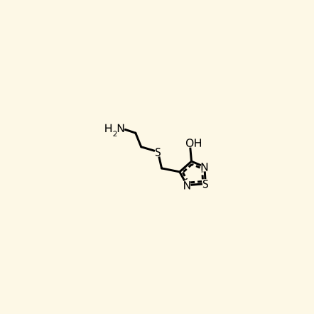 NCCSCc1nsnc1O